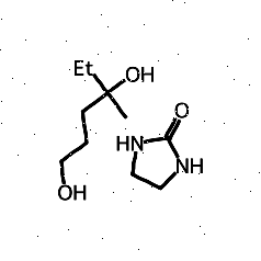 CCC(C)(O)CCCO.O=C1NCCN1